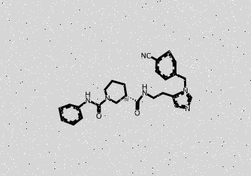 N#Cc1ccc(Cn2cncc2CCNC(=O)[C@H]2CCCN(C(=O)Nc3ccccc3)C2)cc1